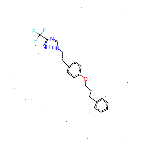 N=C(/N=C\NCCc1ccc(OCCCc2ccccc2)cc1)C(F)(F)F